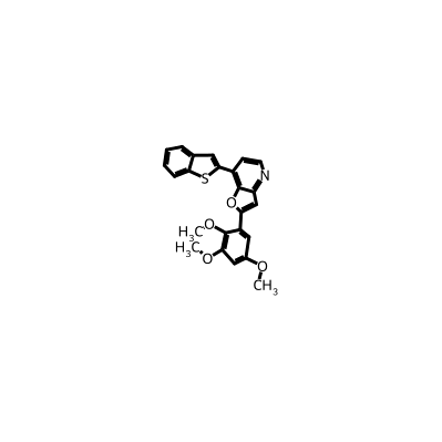 COc1cc(OC)c(OC)c(-c2cc3nccc(-c4cc5ccccc5s4)c3o2)c1